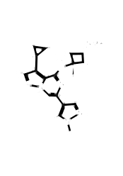 CN[C@H]1C[C@@](C)(Oc2nc(-c3cnn(C)c3)cn3ncc(C4CC4)c23)C1